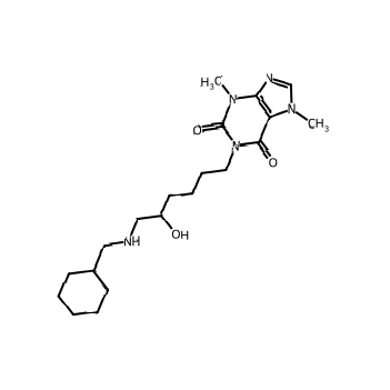 Cn1cnc2c1c(=O)n(CCCCC(O)CNCC1CCCCC1)c(=O)n2C